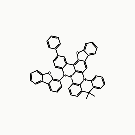 CC1(C)c2ccccc2N2c3cc4c(oc5ccccc54)c4c3B(c3cccc1c32)N(c1cccc2c1oc1ccccc12)c1ccc(-c2ccccc2)cc1-4